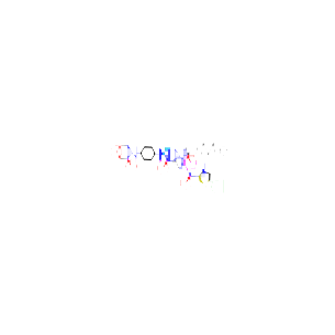 COC(=O)N[C@@H](CNC(=O)c1ccc(Cl)s1)C(=O)N(F)c1ccc(N2CCOCC2=O)cc1